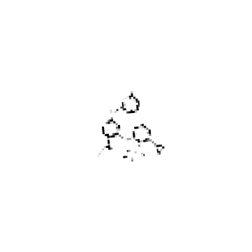 CONC(=O)c1cnc(Nc2cccc(F)n2)cc1Nc1cccc(C2CC2)c1N(C)S(C)(=O)=O